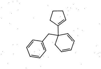 C1=CCC(Cc2ccccc2)(C2=CCCC2)C=C1